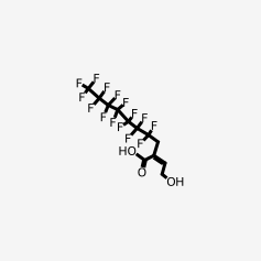 O=C(O)C(=CCO)CC(F)(F)C(F)(F)C(F)(F)C(F)(F)C(F)(F)C(F)(F)C(F)(F)F